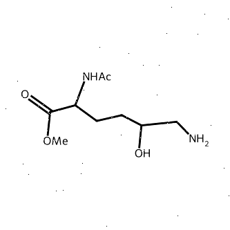 COC(=O)C(CCC(O)CN)NC(C)=O